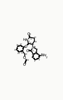 Nc1cccc2c1CN(C1CCC(=O)NC1=O)C2=O.O=COCc1ccccc1